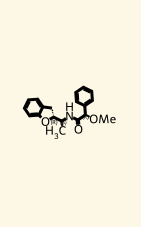 CO[C@@H](C(=O)N[C@@H](C)[C@H]1Cc2ccccc2O1)c1ccccc1